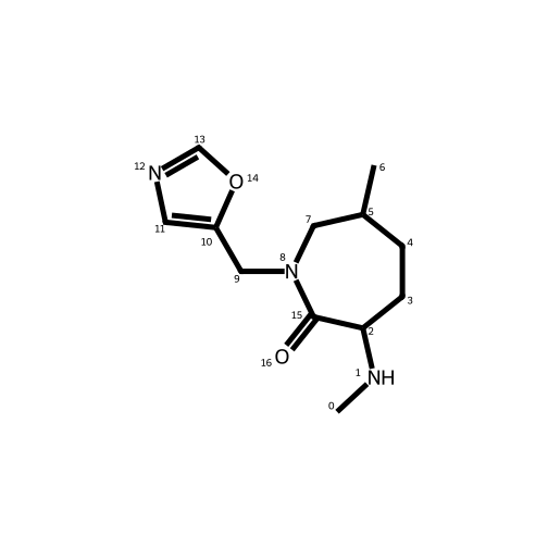 CNC1CCC(C)CN(Cc2cnco2)C1=O